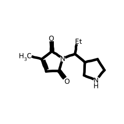 CCC(C1CCNC1)N1C(=O)C=C(C)C1=O